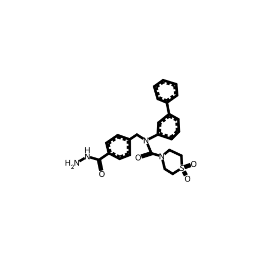 NNC(=O)c1ccc(CN(C(=O)N2CCS(=O)(=O)CC2)c2cccc(-c3ccccc3)c2)cc1